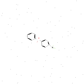 O=[As](O)(c1ccccc1)c1ccc(C(F)(F)F)cc1